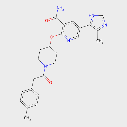 Cc1ccc(CC(=O)N2CCC(Oc3ncc(-c4[nH]cnc4C)cc3C(N)=O)CC2)cc1